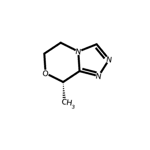 C[C@@H]1OCCn2cnnc21